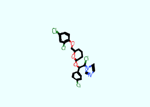 Clc1ccc(C(OC2CCCC(COc3ccc(Cl)cc3Cl)O2)C(Cl)n2ccnc2)cc1